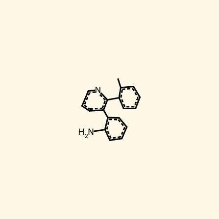 Cc1ccccc1-c1ncccc1-c1ccccc1N